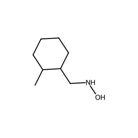 CC1CCCCC1CNO